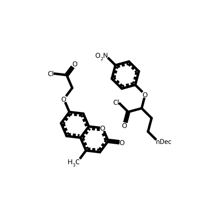 CCCCCCCCCCCCC(Oc1ccc([N+](=O)[O-])cc1)C(=O)Cl.Cc1cc(=O)oc2cc(OCC(=O)Cl)ccc12